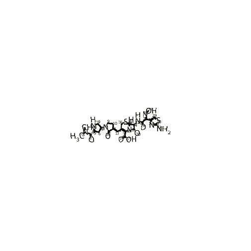 CN(C)C(=O)[C@H]1C[C@H](N2CCC(=CC3=C(C(=O)O)N4C(=O)[C@@H](NC(=O)C(=NO)c5csc(N)n5)[C@H]4SC3)C2=O)CN1